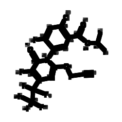 C#CCOc1nc(C(F)(F)C(F)(F)F)c(F)c(=O)n1-c1cc(C(=O)OC(C)C)c(Cl)cc1F